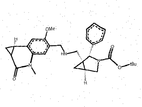 COc1cc2c(cc1CNC[C@@]13C[C@@H]1CN(C(=O)OC(C)(C)C)[C@H]3c1ccccc1)N(C)C(=O)C1C[C@@H]21